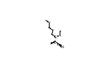 C=C(C#N)N(CC)CCCCC